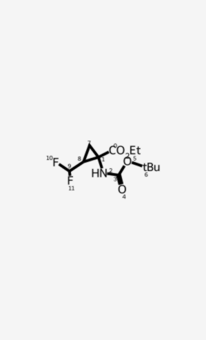 CCOC(=O)C1(NC(=O)OC(C)(C)C)CC1C(F)F